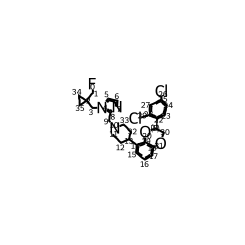 FCC1(Cn2ccnc2CN2CCC(c3cccc4c3O[C@@H](c3ccc(Cl)cc3Cl)CO4)CC2)CC1